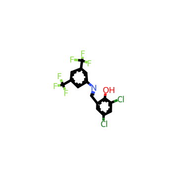 Oc1c(Cl)cc(Cl)cc1C=Nc1cc(C(F)(F)F)cc(C(F)(F)F)c1